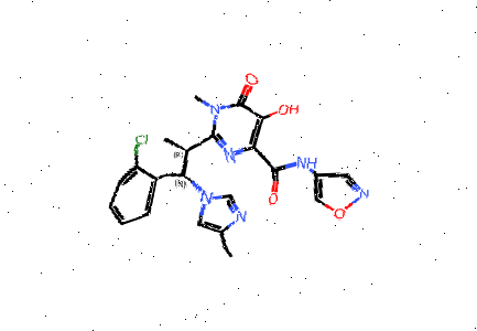 Cc1cn([C@@H](c2ccccc2Cl)[C@@H](C)c2nc(C(=O)Nc3cnoc3)c(O)c(=O)n2C)cn1